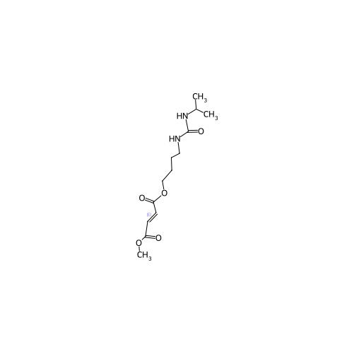 COC(=O)/C=C/C(=O)OCCCCNC(=O)NC(C)C